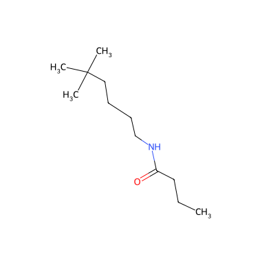 CCCC(=O)NCCCCC(C)(C)C